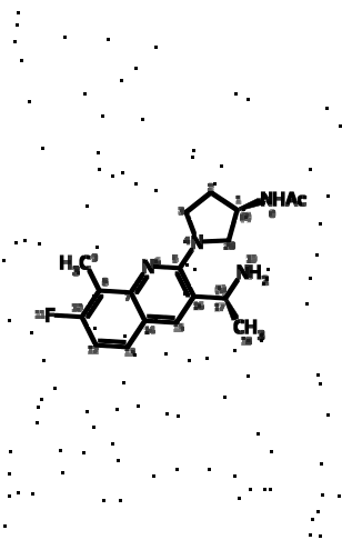 CC(=O)N[C@@H]1CCN(c2nc3c(C)c(F)ccc3cc2[C@H](C)N)C1